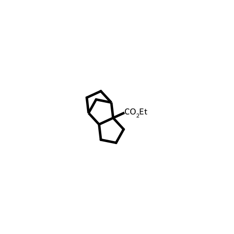 CCOC(=O)C12CCCC1C1CCC2C1